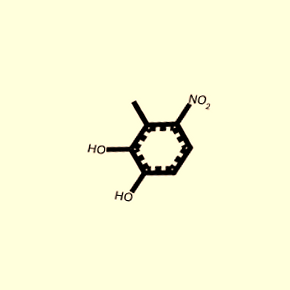 Cc1c([N+](=O)[O-])ccc(O)c1O